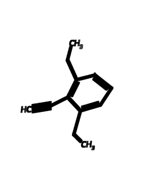 C#Cc1c(CC)[c]ccc1CC